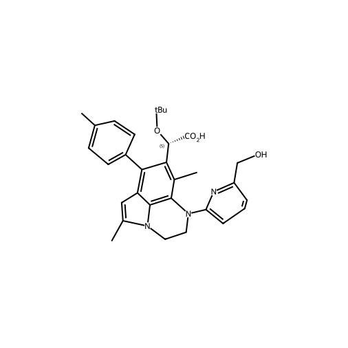 Cc1ccc(-c2c([C@H](OC(C)(C)C)C(=O)O)c(C)c3c4c2cc(C)n4CCN3c2cccc(CO)n2)cc1